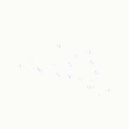 CCOC(=O)c1nc(-c2cc(NC(=O)OC(C)(C)C)nc(C)c2Cl)c(C)nc1N1CCC2(CC1)Cc1cccc3c1[C@H]2N[S@+]([O-])C3(C)C